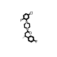 C[C@H](CC(=O)N1CCN(c2cc(Cl)ccc2F)CC1)c1ccc(F)cc1